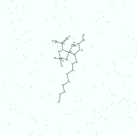 CCCCCCCCCC(CCCC)C(O)(CC(=O)[O-])C[N+](C)(C)C